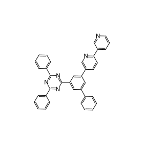 c1ccc(-c2cc(-c3ccc(-c4cccnc4)nc3)cc(-c3nc(-c4ccccc4)nc(-c4ccccc4)n3)c2)cc1